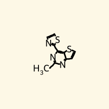 CCc1nc(-c2nccs2)c2sccc2n1